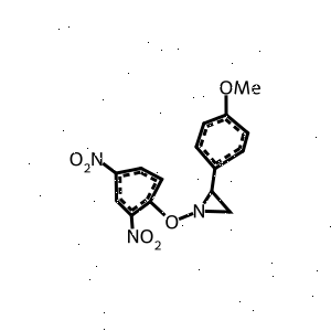 COc1ccc(C2CN2Oc2ccc([N+](=O)[O-])cc2[N+](=O)[O-])cc1